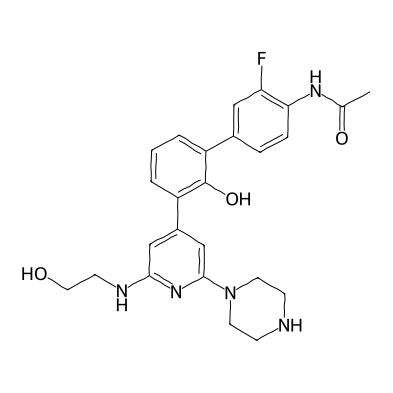 CC(=O)Nc1ccc(-c2cccc(-c3cc(NCCO)nc(N4CCNCC4)c3)c2O)cc1F